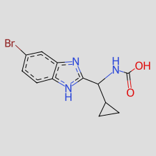 O=C(O)NC(c1nc2cc(Br)ccc2[nH]1)C1CC1